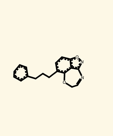 C1=Nc2noc3ccc(CCCc4ccccc4)c(c23)OC1